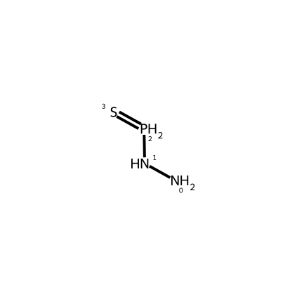 NN[PH2]=S